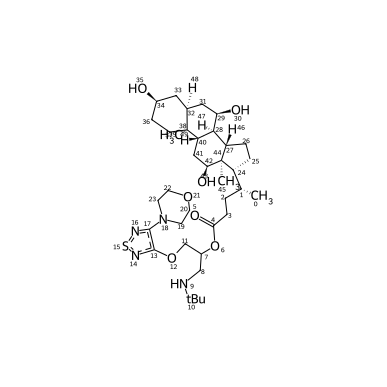 C[C@H](CCC(=O)OC(CNC(C)(C)C)COc1nsnc1N1CCOCC1)[C@H]1CC[C@H]2[C@@H]3[C@H](O)C[C@@H]4C[C@H](O)CC[C@]4(C)[C@H]3C[C@H](O)[C@]12C